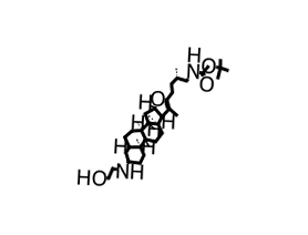 CC1=C(CC[C@H](C)CNC(=O)OC(C)(C)C)O[C@H]2C[C@H]3[C@@H]4CC[C@H]5CC(NCCO)CC[C@]5(C)[C@H]4CC[C@]3(C)[C@@H]12